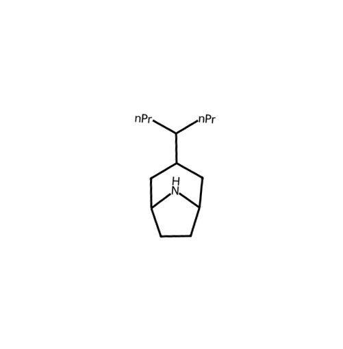 CCCC(CCC)C1CC2CCC(C1)N2